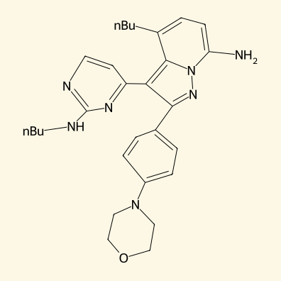 CCCCNc1nccc(-c2c(-c3ccc(N4CCOCC4)cc3)nn3c(N)ccc(CCCC)c23)n1